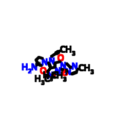 CC#CCn1c(N2CCC[C@@H](N)C2)c(C(=O)N(C)C)c2c1c(=O)n(Cc1nccc(C)n1)c(=O)n2C